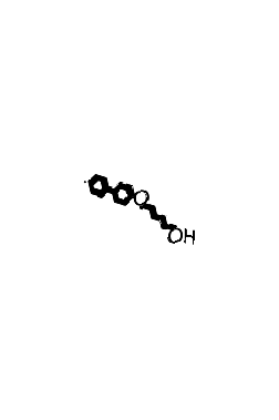 OCCCCCCOC1CCC(c2cc[c]cc2)CC1